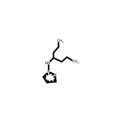 CCCC(CCC)Nn1cc[c]n1